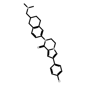 CN(C)CC1CCc2cc(N3CCn4cc(-c5ccc(Cl)cc5)cc4C3=O)ccc2C1